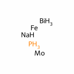 P.[BiH3].[Fe].[Mo].[NaH]